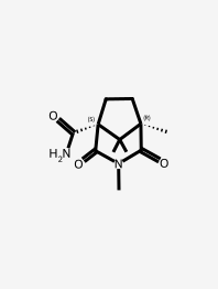 CN1C(=O)[C@@]2(C(N)=O)CC[C@@](C)(C1=O)C2(C)C